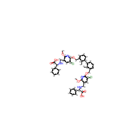 COc1nc(OCc2cccc(-c3cccc(COc4nc(OC)c(CNC(C(=O)O)c5ccccc5)cc4Cl)c3C)c2C)c(Cl)cc1CNC(C(=O)O)c1ccccc1